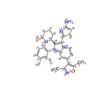 Cc1noc(C)c1-c1ccn2c(-c3nc(N)cs3)c([C@@H]3CCCC(=O)N3c3ccc(F)c(F)c3)nc2c1